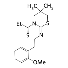 CCC(=S)N1CC(C)(C)CSC1=NCCc1ccccc1OC